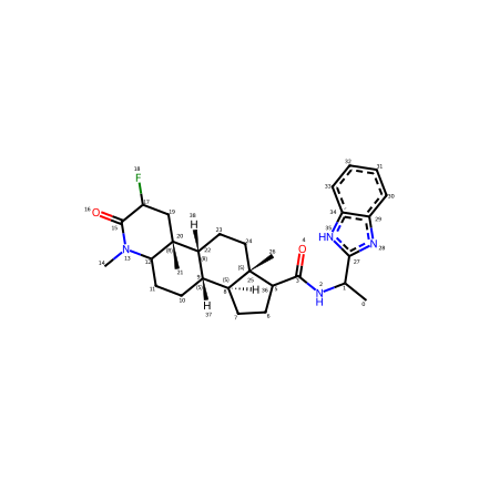 CC(NC(=O)C1CC[C@H]2[C@@H]3CCC4N(C)C(=O)C(F)C[C@]4(C)[C@@H]3CC[C@]12C)c1nc2ccccc2[nH]1